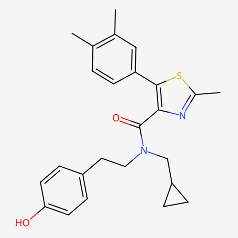 Cc1nc(C(=O)N(CCc2ccc(O)cc2)CC2CC2)c(-c2ccc(C)c(C)c2)s1